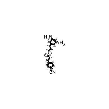 N#COc1ccc(/C=C/C(=O)OCCCc2cc(N)cc(N)c2)cc1